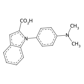 CN(C)c1ccc(-n2c(C(=O)O)cc3ccccc32)cc1